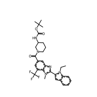 CCn1c(-c2nc3cc(C(=O)N4CCCC(NC(=O)OC(C)(C)C)C4)cc(C(F)(F)F)c3n2C)cc2ccccc21